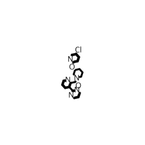 O=C(c1ncccc1-c1ncccn1)N1CCCC(Oc2ccc(Cl)cn2)C1